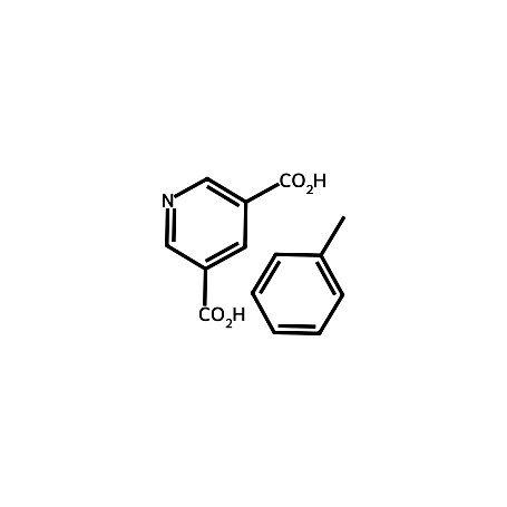 Cc1ccccc1.O=C(O)c1cncc(C(=O)O)c1